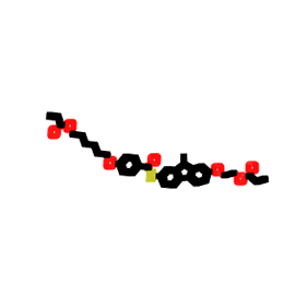 C=CC(=O)OCCCCCCOc1ccc(C(=O)Sc2ccc3c(c2)C(C)c2cc(OCCOC(=O)C=C)ccc2-3)cc1